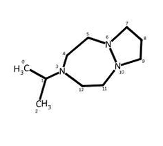 CC(C)N1CCN2CCCN2CC1